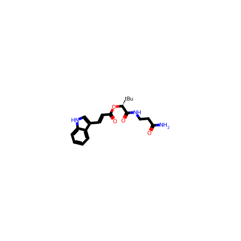 [CH2]C(C)(C)[C@@H](OC(=O)/C=C/c1c[nH]c2ccccc12)C(=O)NCCC(N)=O